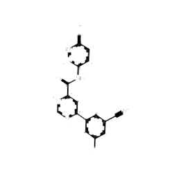 N#Cc1cc(F)cc(-c2cc(C(=O)Nc3ccc(=O)[nH]n3)ncn2)c1